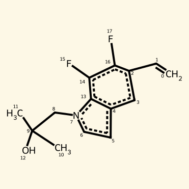 C=Cc1cc2ccn(CC(C)(C)O)c2c(F)c1F